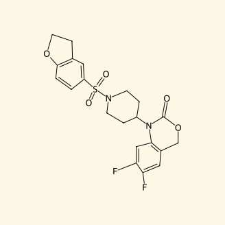 O=C1OCc2cc(F)c(F)cc2N1C1CCN(S(=O)(=O)c2ccc3c(c2)CCO3)CC1